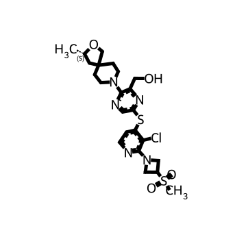 C[C@H]1CC2(CCN(c3ncc(Sc4ccnc(N5CC(S(C)(=O)=O)C5)c4Cl)nc3CO)CC2)CO1